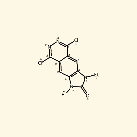 CCn1c(=O)n(CC)c2cc3c(Cl)nnc(Cl)c3cc21